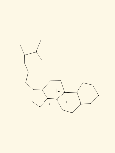 CC(C)C(C)CC[C@@H](C)[C@H]1CC[C@H]2[C@@H]3CCC4C[CH]CC[C@]4(C)[C@H]3CC[C@]12C